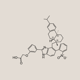 CC(C)c1ccc2c(c1)CC[C@H]1[C@@](C)(Cc3c(-c4ccccc4[N+](=O)[O-])ccc4[nH]c(-c5cccc(OCC(=O)O)c5)nc34)CCC[C@]21C